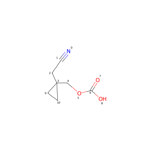 N#CCC1(COC(=O)O)CC1